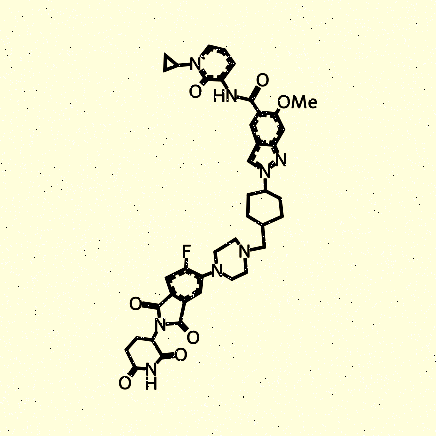 COc1cc2nn(C3CCC(CN4CCN(c5cc6c(cc5F)C(=O)N(C5CCC(=O)NC5=O)C6=O)CC4)CC3)cc2cc1C(=O)Nc1cccn(C2CC2)c1=O